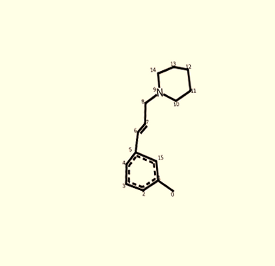 Cc1cccc(C=CCN2CCCCC2)c1